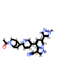 CC(=O)N1CC2CC1CC2c1ccc(-c2cc(-c3cnn(C)c3)cn3ncc(C#N)c23)cn1